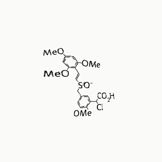 COc1cc(OC)c(C=C[S+]([O-])Cc2ccc(OC)c(C(Cl)C(=O)O)c2)c(OC)c1